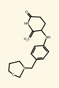 C=C1NC(=O)CCC1Nc1ccc(CN2CCCCC2)cc1